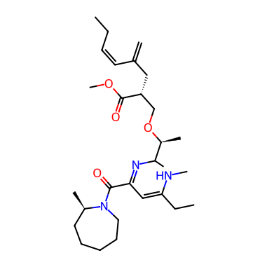 C=C(/C=C\CC)C[C@H](CO[C@@H](C)C(C)/N=C(\C=C(\CC)NC)C(=O)N1CCCCC[C@H]1C)C(=O)OC